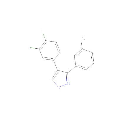 N#Cc1cccc(-c2n[nH]cc2-c2ccc(F)c(F)c2)c1